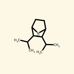 CC(C)C1C2CCC(N2)C1C(C)C